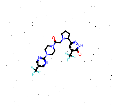 O=C(CN1CCCC1c1cc(C(F)(F)F)c(=O)[nH]n1)N1CCN(c2ncc(C(F)(F)F)cn2)CC1